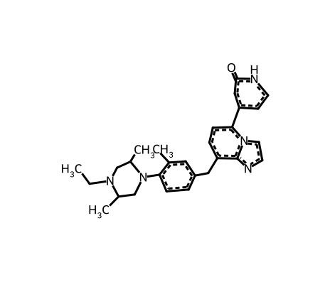 CCN1CC(C)N(c2ccc(Cc3ccc(-c4cc[nH]c(=O)c4)n4ccnc34)cc2C)CC1C